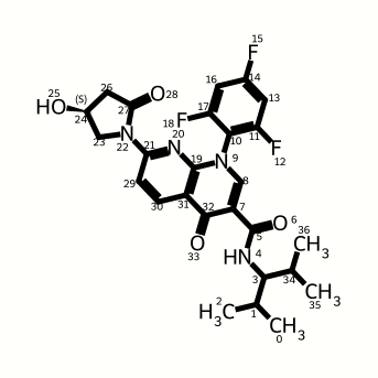 CC(C)C(NC(=O)c1cn(-c2c(F)cc(F)cc2F)c2nc(N3C[C@@H](O)CC3=O)ccc2c1=O)C(C)C